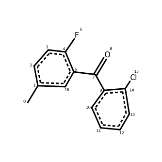 Cc1ccc(F)c(C(=O)c2ccccc2Cl)c1